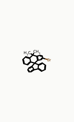 CC1(C)c2ccccc2C2(c3ccccc3-c3ccccc32)c2cc(Br)ccc21